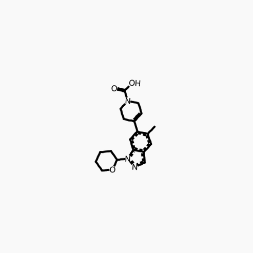 Cc1cc2cnn(C3CCCCO3)c2cc1C1=CCN(C(=O)O)CC1